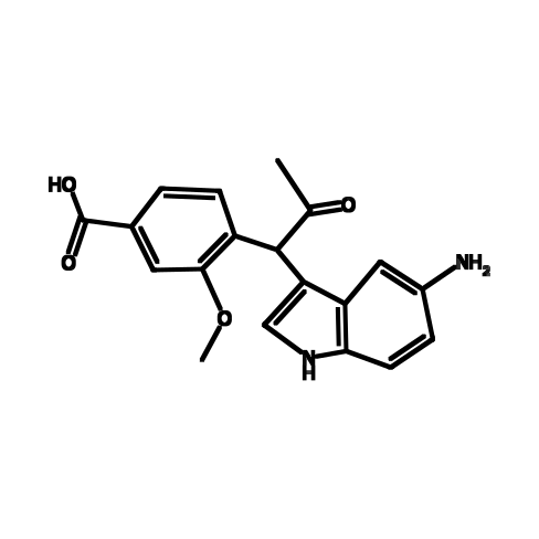 COc1cc(C(=O)O)ccc1C(C(C)=O)c1c[nH]c2ccc(N)cc12